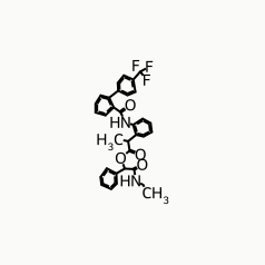 CCNC(=O)C(OC(=O)C(C)c1ccccc1NC(=O)c1ccccc1-c1ccc(C(F)(F)F)cc1)c1ccccc1